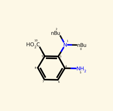 CCCCN(CCCC)c1c(N)cccc1C(=O)O